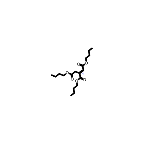 CCCCOC(=O)/C=C(\CC(=O)OCCCC)C(=O)OCCCC